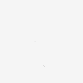 CSCCCCC(S)CCCCCN